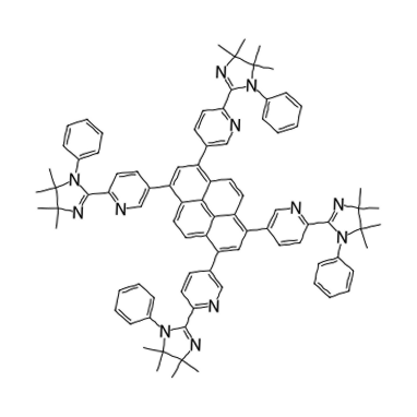 CC1(C)N=C(c2ccc(-c3cc(-c4ccc(C5=NC(C)(C)C(C)(C)N5c5ccccc5)nc4)c4ccc5c(-c6ccc(C7=NC(C)(C)C(C)(C)N7c7ccccc7)nc6)cc(-c6ccc(C7=NC(C)(C)C(C)(C)N7c7ccccc7)nc6)c6ccc3c4c65)cn2)N(c2ccccc2)C1(C)C